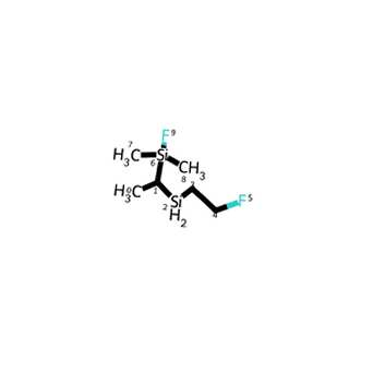 CC([SiH2]CCF)[Si](C)(C)F